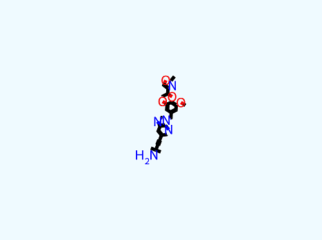 COc1cc(Cn2cnc3cc(C#CC(C)(C)N)cnc32)cc2c1OC(c1coc(C)n1)CO2